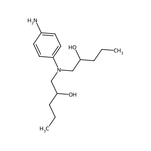 CCCC(O)CN(CC(O)CCC)c1ccc(N)cc1